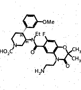 CCN(C(=O)c1cc2c(cc1F)OC(C)(C)C(=O)N2CCN)[C@H]1CN(C(=O)O)CC[C@@H]1c1cccc(OC)c1